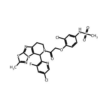 Cc1nn2c3c(nc2s1)CCN(C(=O)COc1ccc(NS(C)(=O)=O)cc1Cl)C3c1ncc(Cl)cc1F